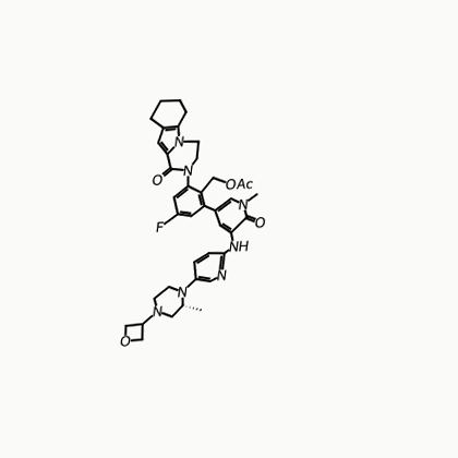 CC(=O)OCc1c(-c2cc(Nc3ccc(N4CCN(C5COC5)C[C@H]4C)cn3)c(=O)n(C)c2)cc(F)cc1N1CCn2c(cc3c2CCCC3)C1=O